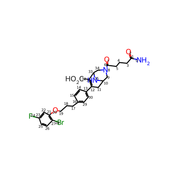 NC(=O)CCCC(=O)N1CC2CC(c3ccc(CCCOc4cc(F)ccc4Br)cc3)=C(C(=O)O)C(C1)N2